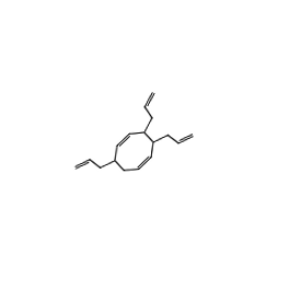 C=CCC1C=CC(CC=C)C(CC=C)C=CC1